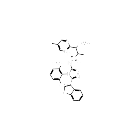 COc1cccc(OC)c1-n1c(NS(=O)(=O)C(C)C(OC)c2ncc(C)cn2)nnc1[C@@H]1COc2ccccc21